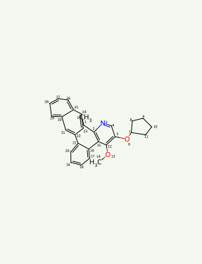 CCc1ncc(OC2CCCC2)c(OC)c1-c1ccccc1-c1ccc2ccccc2c1